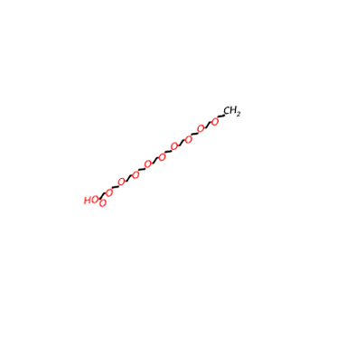 C=CCOCCOCCOCCOCCOCCOCCOCCOCCOCC(=O)O